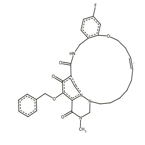 CN1CN2CCCCC/C=C\CCOc3cc(F)ccc3CNC(=O)c3cn2c(c(OCc2ccccc2)c3=O)C1=O